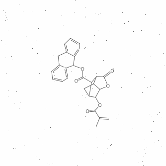 C=C(C)C(=O)OC1C2CC3C1OC(=O)C3C2C(=O)OC1c2ccccc2Cc2ccccc21